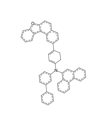 C1=C(c2ccc3ccc4oc5ccccc5c4c3c2)CCC(N(c2cccc(-c3ccccc3)c2)c2cc3ccccc3c3ccccc23)=C1